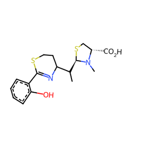 CC(C1CCSC(c2ccccc2O)=N1)[C@H]1SC[C@H](C(=O)O)N1C